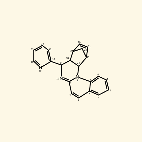 C1=Cc2ccccc2N2C1=NC(c1ccccn1)C1C3C=CC(C3)C12